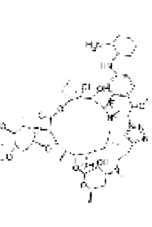 CC[C@H]1OC(=O)[C@H](C)[C@@H](O[C@H]2C[C@@](C)(OC)[C@@H](O)[C@H](C)O2)[C@H](C)[C@@H](O[C@@H]2O[C@H](C)C[C@H](N(C)CCc3cn([C@H](CF)[C@H](OC)c4ccc(NC5CCCCC5N)cc4)nn3)[C@H]2O)[C@](C)(O)C[C@@H](C)CN(C)[C@H](C)[C@@H](O)[C@]1(C)O